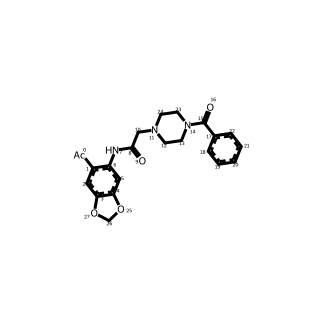 CC(=O)c1cc2c(cc1NC(=O)CN1CCN(C(=O)c3ccccc3)CC1)OCO2